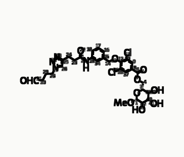 CO[C@@H]1O[C@H](COC(=O)c2cc(Cl)c(OCc3cccc(NC(=O)CCc4cn(CCCC=O)nn4)c3)c(Cl)c2)[C@@H](O)[C@H](O)[C@H]1O